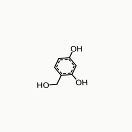 OCc1ccc(O)cc1O